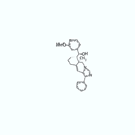 COc1cccc([C@@H](O)[C@H]2CCCC3=Cc4c(-c5ccccc5)ncn4C[C@@]32C)c1